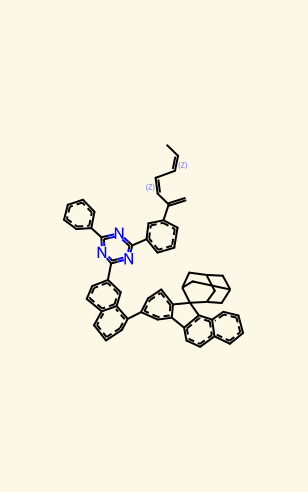 C=C(/C=C\C=C/C)c1cccc(-c2nc(-c3ccccc3)nc(-c3ccc4cccc(-c5ccc6c(c5)-c5ccc7ccccc7c5C65C6CC7CC(C6)CC5C7)c4c3)n2)c1